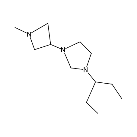 CCC(CC)N1CCN(C2CN(C)C2)C1